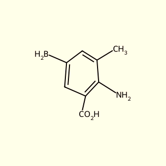 Bc1cc(C)c(N)c(C(=O)O)c1